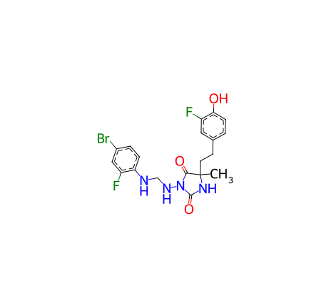 CC1(CCc2ccc(O)c(F)c2)NC(=O)N(NCNc2ccc(Br)cc2F)C1=O